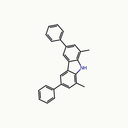 Cc1cc(-c2ccccc2)cc2c1[nH]c1c(C)cc(-c3ccccc3)cc12